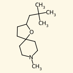 CN1CCC2(CCC(CC(C)(C)C)O2)CC1